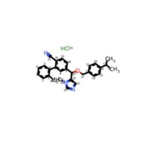 Cc1ccccc1-c1cc(C(OCc2ccc(C(C)C)cc2)c2cncn2C)ccc1C#N.Cl